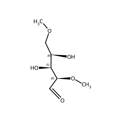 COC[C@@H](O)[C@H](O)[C@H](C=O)OC